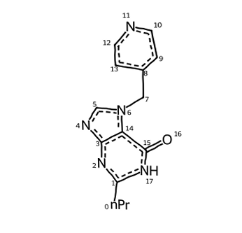 CCCc1nc2ncn(Cc3ccncc3)c2c(=O)[nH]1